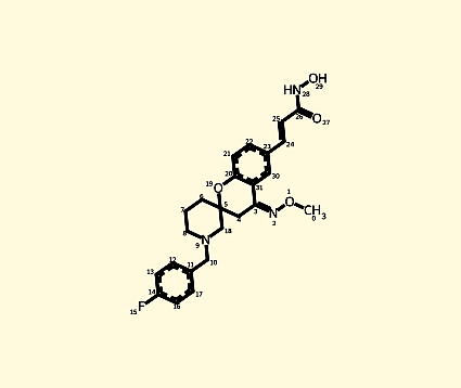 CO/N=C1/CC2(CCCN(Cc3ccc(F)cc3)C2)Oc2ccc(/C=C/C(=O)NO)cc21